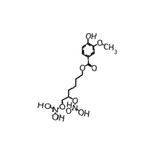 COc1cc(C(=O)OCCCCC(CON(O)O)ON(O)O)ccc1O